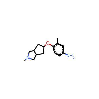 Cc1cc(N)ccc1OC1CC2CN(C)CC2C1